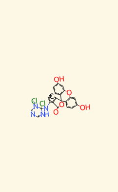 O=C1OC2(c3ccc(O)cc3Oc3cc(O)ccc32)c2cccc(NC3(Cl)N=CN=CN3Cl)c21